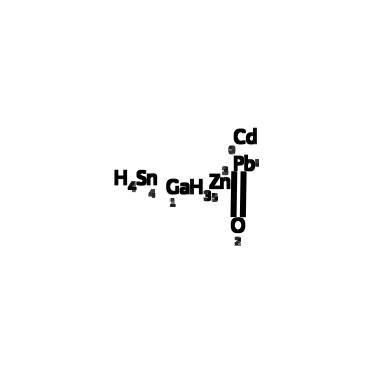 [Cd].[GaH3].[O]=[Pb].[SnH4].[Zn]